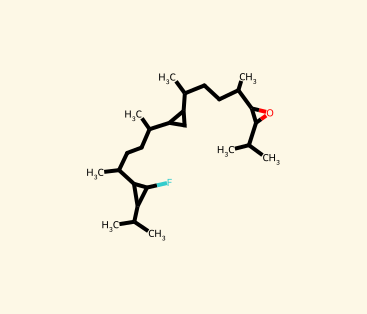 CC(C)C1OC1C(C)CCC(C)C1CC1C(C)CCC(C)C1C(F)C1C(C)C